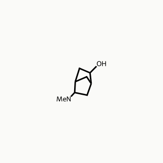 CNC1CC2CC1CC2O